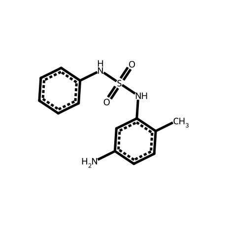 Cc1ccc(N)cc1NS(=O)(=O)Nc1ccccc1